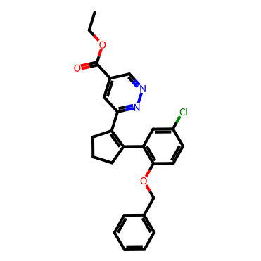 CCOC(=O)c1cnnc(C2=C(c3cc(Cl)ccc3OCc3ccccc3)CCC2)c1